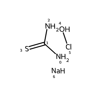 NC(N)=S.OCl.[NaH]